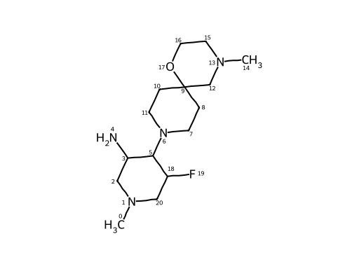 CN1CC(N)C(N2CCC3(CC2)CN(C)CCO3)C(F)C1